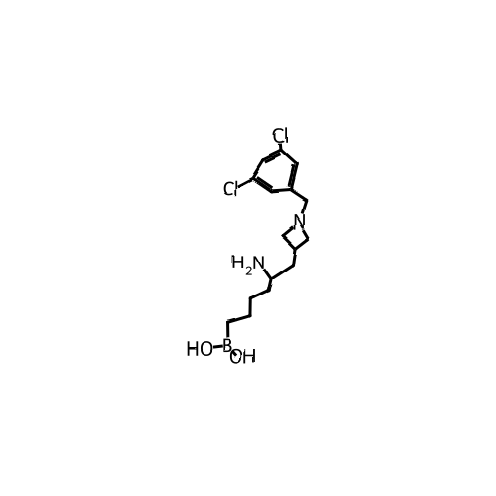 NC(CCCCB(O)O)CC1CN(Cc2cc(Cl)cc(Cl)c2)C1